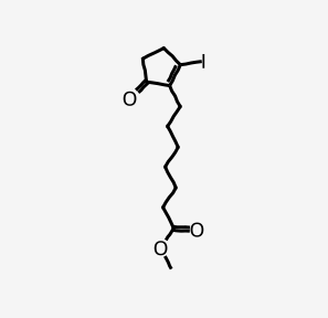 COC(=O)CCCCCCC1=C(I)CCC1=O